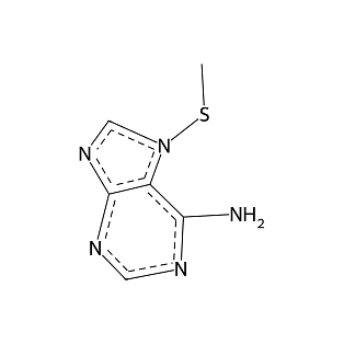 CSn1cnc2ncnc(N)c21